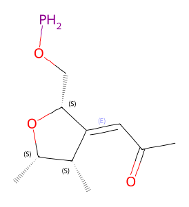 CC(=O)/C=C1/[C@@H](COP)O[C@@H](C)[C@H]1C